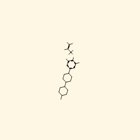 CC1CCC(C2CCC(c3cc(F)c(OC(F)(F)C(F)=C(F)F)c(F)c3)CC2)CC1